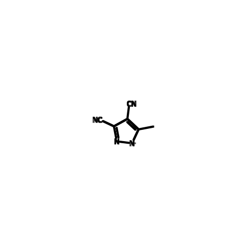 CC1=C(C#N)C(C#N)=N[N]1